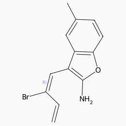 C=C/C(Br)=C\c1c(N)oc2ccc(C)cc12